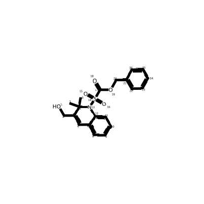 CC1(C)C(CO)=Cc2ccccc2N1S(=O)(=O)C(=O)OCc1ccccc1